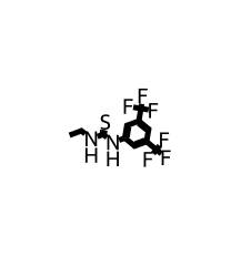 CCNC(=S)Nc1cc(C(F)(F)F)cc(C(F)(F)F)c1